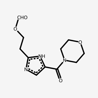 O=COCCc1ncc(C(=O)N2CCOCC2)[nH]1